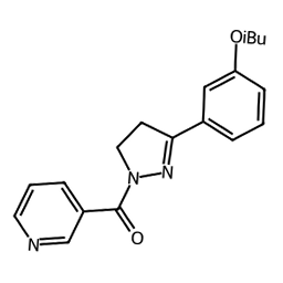 CC(C)COc1cccc(C2=NN(C(=O)c3cccnc3)CC2)c1